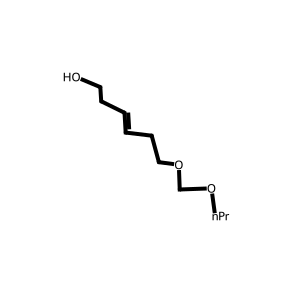 CCCOCOCC/C=C/CCO